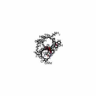 COc1cc2cc(c1Cl)N(C)C(=O)C[C@H](OC(=O)[C@H](C)N(C)C(=O)CCSSC[C@H](NC(=O)[C@@H]1CSSC[C@H](NC(=O)[C@@H](Cc3ccccc3)NC(=O)C(F)(F)F)C(=O)N[C@@H](Cc3ccc(O)cc3)C(=O)N[C@H](Cc3c[nH]c4ccccc34)C(=O)N[C@@H](CCCCN)C(=O)N[C@@H]([C@@H](C)O)C(=O)N1)C(N)=O)[C@]1(C)O[C@H]1[C@H](C)[C@@H]1C[C@@](O)(NC(=O)O1)[C@H](OC)/C=C/C=C(\C)C2